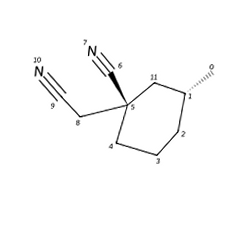 C[C@@H]1CCC[C@](C#N)(CC#N)C1